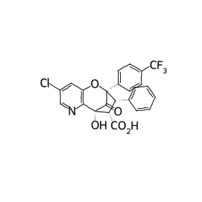 O=C(O)[C@H]1[C@@H](c2ccccc2)[C@]2(c3ccc(C(F)(F)F)cc3)Oc3cc(Cl)cnc3[C@@]1(O)C2=O